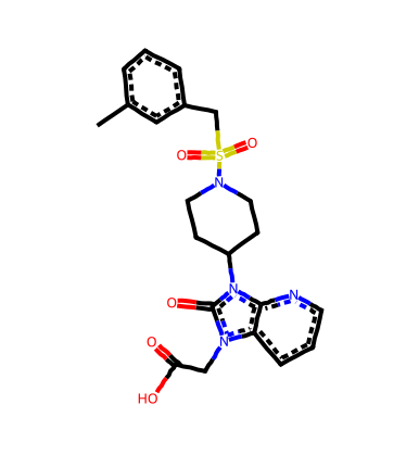 Cc1cccc(CS(=O)(=O)N2CCC(n3c(=O)n(CC(=O)O)c4cccnc43)CC2)c1